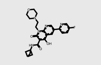 O=C(NC12CC(C1)C2)c1c(O)c2cc(-c3ccc(F)cn3)cnc2n(CCN2CCOCC2)c1=O